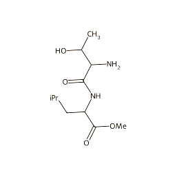 COC(=O)C(CC(C)C)NC(=O)C(N)C(C)O